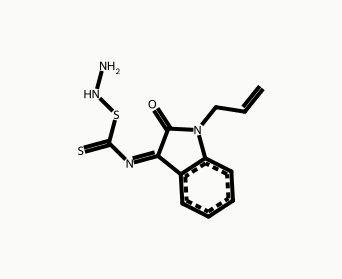 C=CCN1C(=O)C(=NC(=S)SNN)c2ccccc21